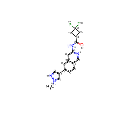 Cn1cc(-c2ccc3cnc(NC(=O)C4CC(F)(F)C4)cc3c2)cn1